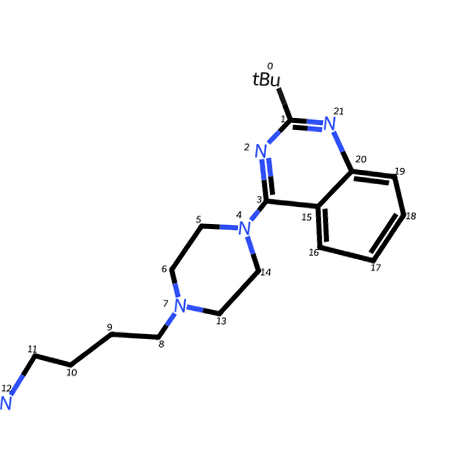 CC(C)(C)c1nc(N2CCN(CCCCN)CC2)c2ccccc2n1